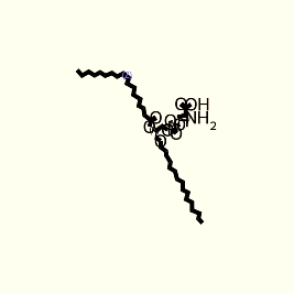 CCCCCCCC/C=C\CCCCCCCC(=O)O[C@H](COCCCCCCCCCCCCCCCC)COP(=O)(O)OC[C@H](N)C(=O)O